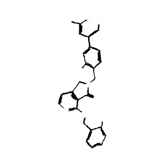 C/C(N)=C/C(=C\N)c1ccc(CN2Cc3ccnc(OCc4ccccc4F)c3C2=O)c(F)c1